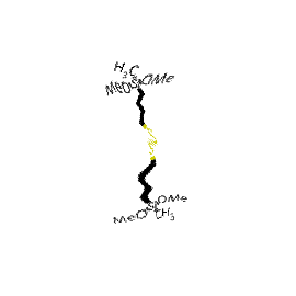 CO[Si](C)(CCCCSSCCCC[Si](C)(OC)OC)OC